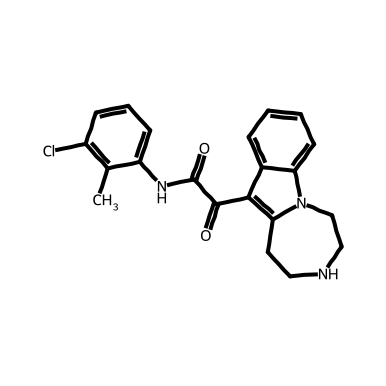 Cc1c(Cl)cccc1NC(=O)C(=O)c1c2n(c3ccccc13)CCNCC2